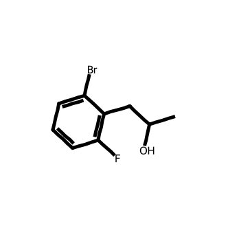 CC(O)Cc1c(F)cccc1Br